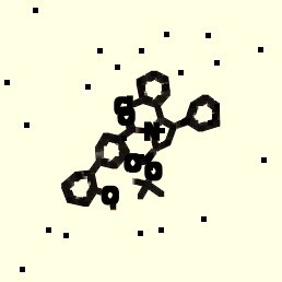 COc1ccccc1-c1ccc(C(=O)N2C(c3ccccc3Cl)[C@@H](c3ccccc3)C[C@H]2C(=O)OC(C)(C)C)cc1